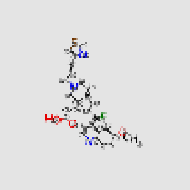 COc1ccc2nccc([C@H](F)CC[C@@H]3CCN(CC#Cc4cscn4)C[C@H]3CCC(=O)O)c2c1